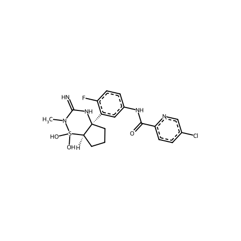 CN1C(=N)N[C@@]2(c3cc(NC(=O)c4ccc(Cl)cn4)ccc3F)CCC[C@H]2S1(O)O